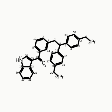 CC(C)Cc1ccc(C(Cc2cccc(C(=O)c3c[nH]c4ccccc34)c2)c2ccc(CC(C)C)cc2)cc1